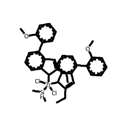 CCC1=Cc2c(-c3ccccc3OC)cccc2[CH]1[Zr]([Cl])([Cl])([CH]1C(CC)=Cc2c(-c3ccccc3OC)cccc21)[SiH](C)C